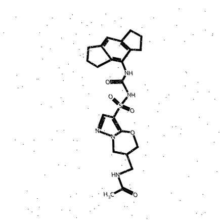 CC(=O)NCC1COc2c(S(=O)(=O)NC(=O)Nc3c4c(cc5c3CCC5)CCC4)cnn2C1